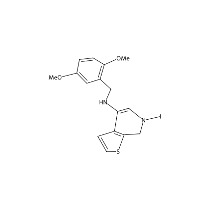 COc1ccc(OC)c(CNC2=CN(I)Cc3sccc32)c1